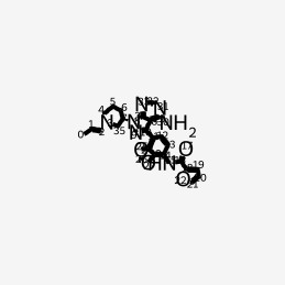 CC=CN1CCC[C@@H](n2nc(-c3ccc(NC(=O)c4ccco4)c4c3OCO4)c3c(N)ncnc32)C1